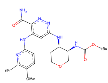 CCCc1nc(Nc2cc(N[C@@H]3CCOC[C@@H]3NC(=O)OC(C)(C)C)nnc2C(N)=O)ccc1OC